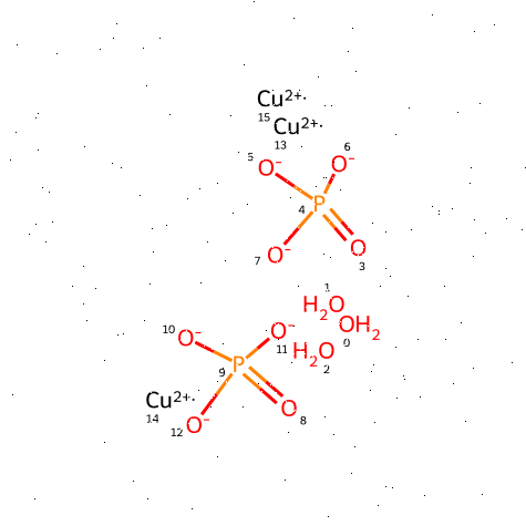 O.O.O.O=P([O-])([O-])[O-].O=P([O-])([O-])[O-].[Cu+2].[Cu+2].[Cu+2]